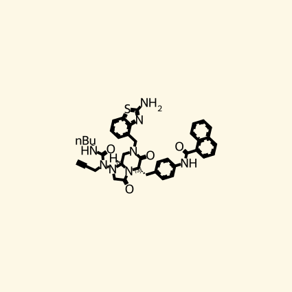 C#CCN(C(=O)NCCCC)N1CC(=O)N2[C@@H](Cc3ccc(NC(=O)c4cccc5ccccc45)cc3)C(=O)N(Cc3cccc4sc(N)nc34)C[C@@H]21